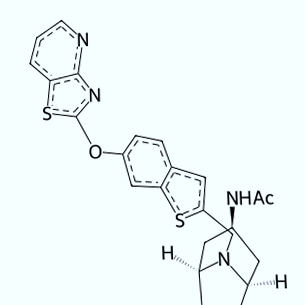 CC(=O)N[C@H]1C[C@H]2CC[C@@H](C1)N2Cc1cc2ccc(Oc3nc4ncccc4s3)cc2s1